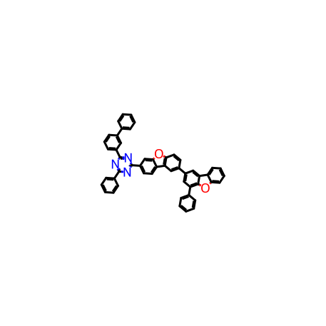 c1ccc(-c2cccc(-c3nc(-c4ccccc4)nc(-c4ccc5c(c4)oc4ccc(-c6cc(-c7ccccc7)c7oc8ccccc8c7c6)cc45)n3)c2)cc1